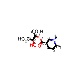 C[C@H]1CC[C@@H](C(=O)OC(C(=O)O)C(O)C(=O)O)CN1C